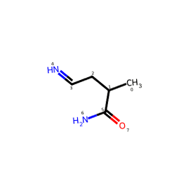 CC(CC=N)C(N)=O